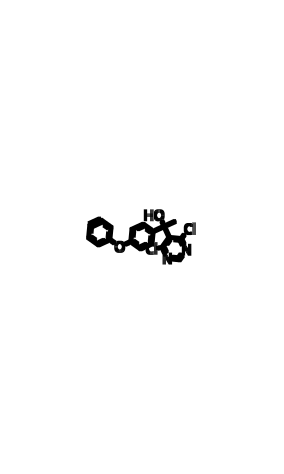 CC(O)(c1ccc(Oc2cc#ccc2)cc1)c1c(Cl)ncnc1Cl